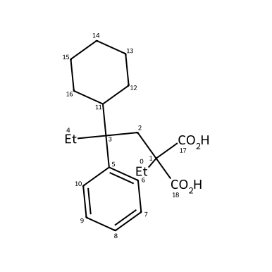 CCC(CC(CC)(c1ccccc1)C1CCCCC1)(C(=O)O)C(=O)O